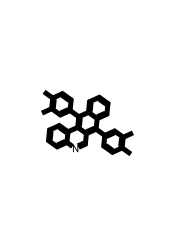 Cc1ccc(-c2c3ccccc3c(-c3ccc(C)c(C)c3)c3c2cnc2ccccc23)cc1C